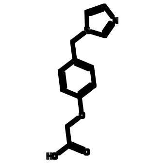 O=C(O)COc1ccc(Cn2ccnc2)cc1